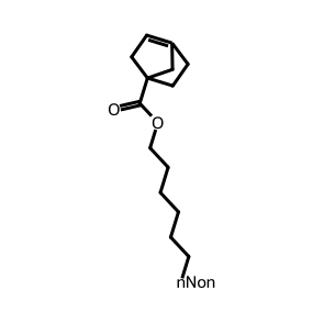 CCCCCCCCCCCCCCCOC(=O)C12CC=C(CC1)C2